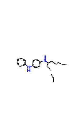 CCCCCC(CCCCC)Nc1ccc(Nc2ccccc2)cc1